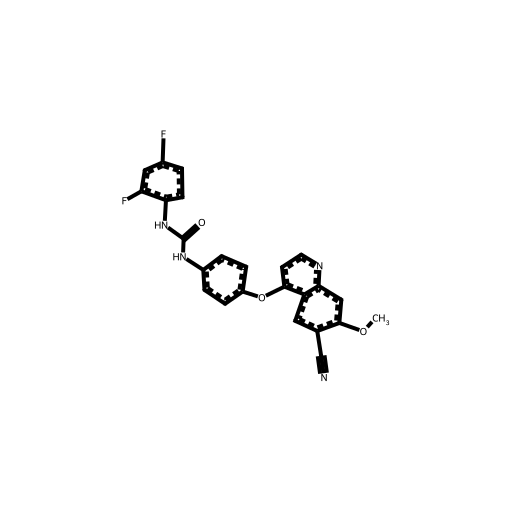 COc1cc2nccc(Oc3ccc(NC(=O)Nc4ccc(F)cc4F)cc3)c2cc1C#N